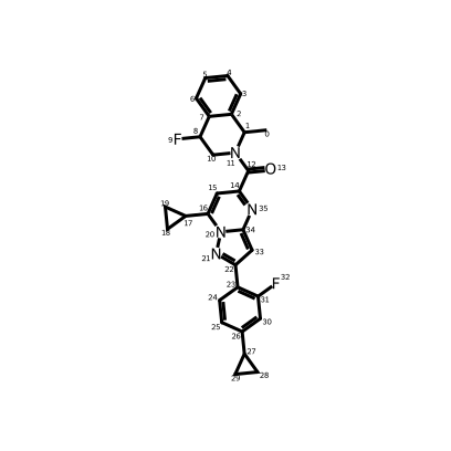 CC1c2ccccc2C(F)CN1C(=O)c1cc(C2CC2)n2nc(-c3ccc(C4CC4)cc3F)cc2n1